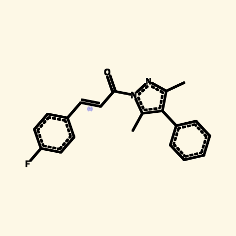 Cc1nn(C(=O)/C=C/c2ccc(F)cc2)c(C)c1-c1ccccc1